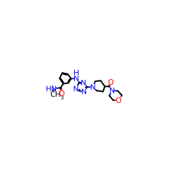 CNC(=O)c1cccc(Nc2ncnc(N3CCC(C(=O)N4CCOCC4)CC3)n2)c1